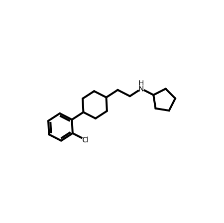 Clc1ccccc1C1CCC(CCNC2CCCC2)CC1